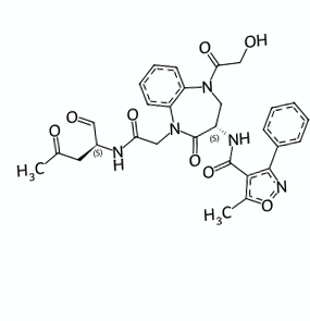 CC(=O)C[C@@H](C=O)NC(=O)CN1C(=O)[C@@H](NC(=O)c2c(-c3ccccc3)noc2C)CN(C(=O)CO)c2ccccc21